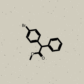 COC(=O)C(c1ccccc1)c1ccc(Br)cc1